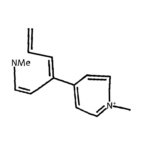 C=C/C=C(\C=C/NC)c1cc[n+](C)cc1